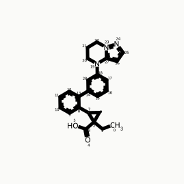 CCC1(C(=O)O)CC1c1ccccc1-c1cccc(N2CCCn3nccc32)c1